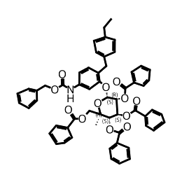 CCc1ccc(Cc2ccc(NC(=O)OCc3ccccc3)cc2O[C@H]2O[C@](C)(COC(=O)c3ccccc3)[C@@H](OC(=O)c3ccccc3)[C@H](OC(=O)c3ccccc3)[C@H]2OC(=O)c2ccccc2)cc1